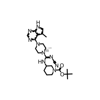 Cc1c[nH]c2ncnc(N3CCN(C(=NC#N)NC4CCCN(C(=O)OC(C)(C)C)C4)[C@@H](C)C3)c12